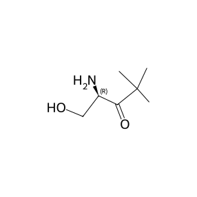 CC(C)(C)C(=O)[C@H](N)CO